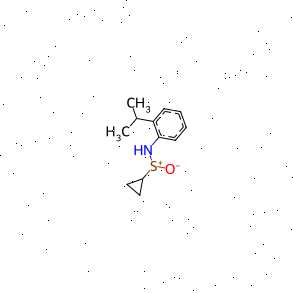 CC(C)c1ccccc1N[S+]([O-])C1CC1